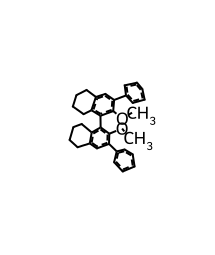 COc1c(-c2ccccc2)cc2c(c1-c1c3c(cc(-c4ccccc4)c1OC)CCCC3)CCCC2